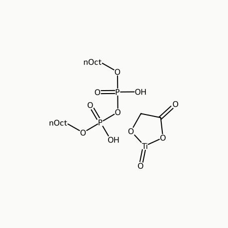 CCCCCCCCOP(=O)(O)OP(=O)(O)OCCCCCCCC.O=C1C[O][Ti](=[O])[O]1